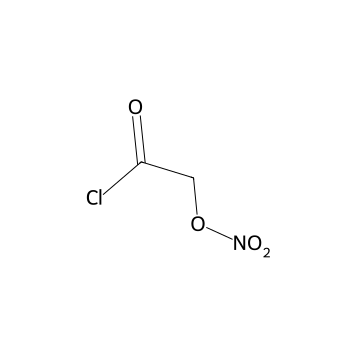 O=C(Cl)CO[N+](=O)[O-]